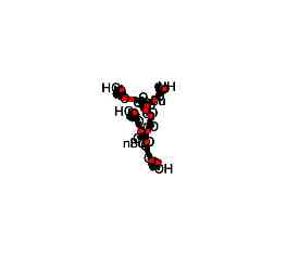 CCCCC(CCCOC(=O)CCC(=O)OCCCC(CCCC)(C(=O)OCCCOC1CC(C)(C)N(O)C(C)(C)C1)C(=O)OCCCOC1CC(C)(C)N(O)C(C)(C)C1)(C(=O)OCCCOC1CC(C)(C)NC(C)(C)C1)C(=O)OCCCOC1CC(C)(C)N(O)C(C)(C)C1